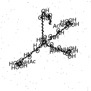 C=C=CCOP(=O)(O)OC[C@@H]1C[C@@H](O)CN1C(=O)CCCCCCCCCCCCC(=O)N[C@@H]1O[C@H](COCCC(=O)NCCCNC(=O)CCCCO[C@@H]2O[C@H](CO)[C@H](O)[C@H](O)[C@H]2NC(C)=O)[C@@H](OCCC(=O)NCCCNC(=O)CCCCO[C@@H]2O[C@H](CO)[C@H](O)[C@H](O)[C@H]2NC(C)=O)[C@H](OCCC(=O)NCCCNC(=O)CCCCO[C@@H]2O[C@H](CO)[C@H](O)[C@H](O)[C@H]2NC(C)=O)[C@H]1F